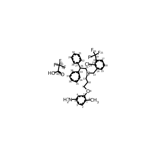 Cc1ccc(N)cc1OCCCN(Cc1cccc(C(F)(F)F)c1Cl)CC(c1ccccc1)c1ccccc1.O=C(O)C(F)(F)F